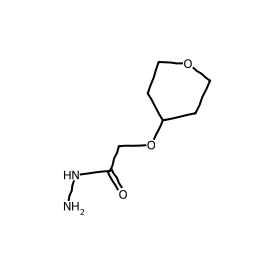 NNC(=O)COC1CCOCC1